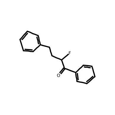 O=C(c1ccccc1)C(F)CCc1ccccc1